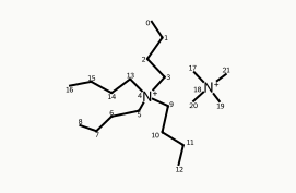 CCCC[N+](CCCC)(CCCC)CCCC.C[N+](C)(C)C